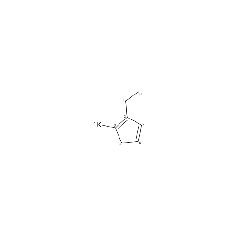 CCC1=[C]([K])CC=C1